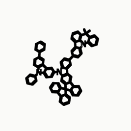 CC1(C)c2ccccc2-n2c3ccc(-c4ccc5c(c4)c4cc6c(cc4n5-c4ccc5c(c4)c4cc(-c7ccccc7)ccc4n5-c4ccccc4)C4(c5ccccc5-c5ccccc54)c4ccccc4-6)cc3c3cccc1c32